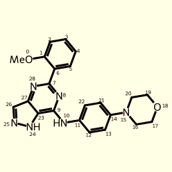 COc1ccccc1-c1nc(Nc2ccc(N3CCOCC3)cc2)c2[nH]ncc2n1